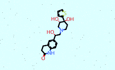 O=C1CCc2cc([C@@H](O)CN3CC[C@@](O)(c4cccs4)[C@@H](O)C3)ccc2N1